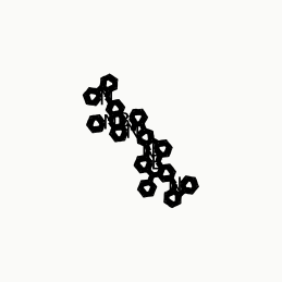 c1ccc(C2c3cc(-n4c5ccccc5c5ccccc54)ccc3B3c4c2cccc4-n2c4cc5c(cc4c4cccc3c42)c2cccc3c2n5-c2cccc4c2B3c2ccc(-n3c5ccccc5c5ccccc53)cc2N4c2ccccc2)cc1